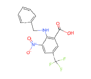 O=C(O)c1cc(C(F)(F)F)cc([N+](=O)[O-])c1NCc1ccccc1